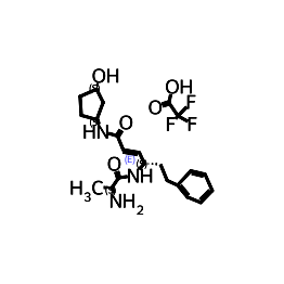 C[C@H](N)C(=O)N[C@H](/C=C/C(=O)N[C@H]1CC[C@H](O)C1)CCc1ccccc1.O=C(O)C(F)(F)F